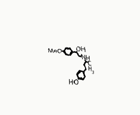 COc1ccc(C(O)CNC(C)CCc2ccc(O)cc2)cc1